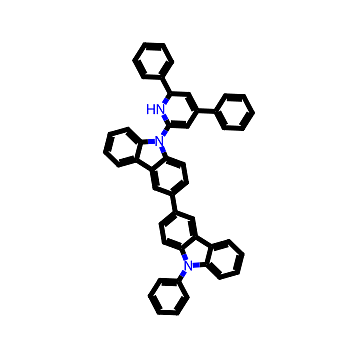 C1=C(c2ccccc2)C=C(n2c3ccccc3c3cc(-c4ccc5c(c4)c4ccccc4n5-c4ccccc4)ccc32)NC1c1ccccc1